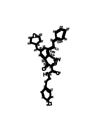 O=C(NCCc1ccc(Cl)cc1)c1n[nH]c2c(CCc3ccccc3)cc(CC3CCOCC3)cc2c1=O